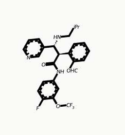 CC(C)CN[C@@H](c1cccnc1)[C@H](C(=O)Nc1ccc(F)c(OC(F)(F)F)c1)c1ccccc1C=O